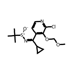 COCOc1c(/C(=N\[S@@+]([O-])C(C)(C)C)C2CC2)ccnc1Cl